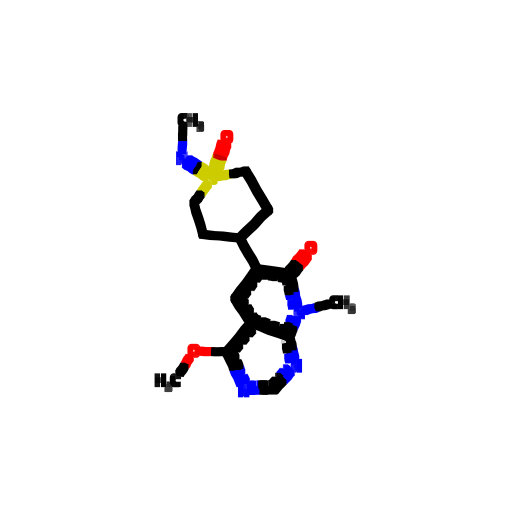 CN=S1(=O)CCC(c2cc3c(OC)ncnc3n(C)c2=O)CC1